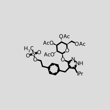 CC(=O)OC[C@H]1O[C@@H](Oc2n[nH]c(C(C)C)c2Cc2ccc(CCOS(C)(=O)=O)cc2)[C@H](OC(C)=O)[C@@H](OC(C)=O)[C@@H]1OC(C)=O